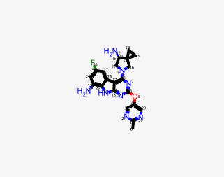 Cc1ncc(Oc2nc(N3C[C@@H](N)C4(CC4)C3)c3c(n2)[nH]c2c(N)cc(F)cc23)cn1